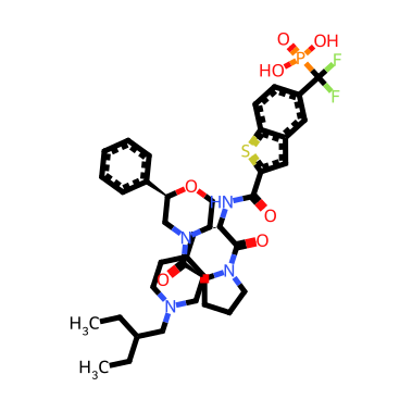 CCC(CC)CN1CCC(C[C@H](NC(=O)c2cc3cc(C(F)(F)P(=O)(O)O)ccc3s2)C(=O)N2CCC[C@H]2C(=O)N2CCO[C@H](c3ccccc3)C2)CC1